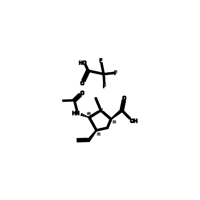 C=C[C@@H]1C[C@H](C(=O)O)N(C)[C@H]1NC(C)=O.O=C(O)C(F)(F)F